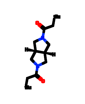 CC(C)(C)CC(=O)N1C[C@H]2CN(C(=O)CC(C)(C)C)C[C@H]2C1